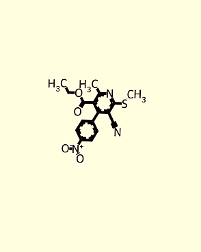 CCOC(=O)c1c(C)nc(SC)c(C#N)c1-c1ccc([N+](=O)[O-])cc1